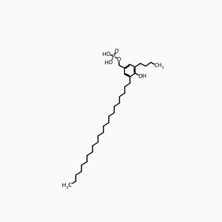 CCCCCCCCCCCCCCCCCCCCCCc1cc(COP(=O)(O)O)cc(CCCC)c1O